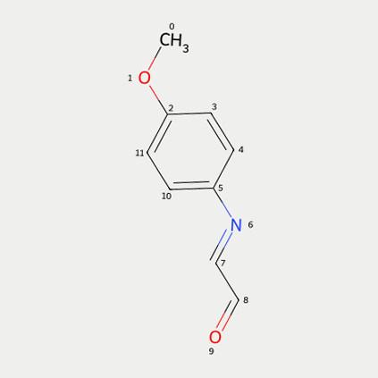 COc1ccc(N=CC=O)cc1